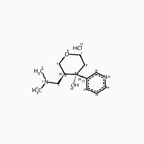 CN(C)C[C@H]1COCC[C@@]1(O)c1cccnc1.Cl